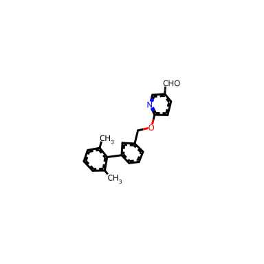 Cc1cccc(C)c1-c1cccc(COc2ccc(C=O)cn2)c1